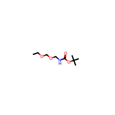 CCOCOCNC(=O)OC(C)(C)C